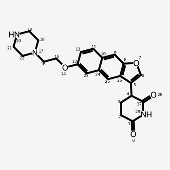 O=C1CCC(c2coc3cc4ccc(OCCN5CCNCC5)cc4cc23)C(=O)N1